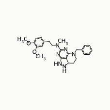 COc1ccc(CCN(C)c2nc3c4c(n2)N(Cc2ccccc2)CCC4NN3)cc1OC